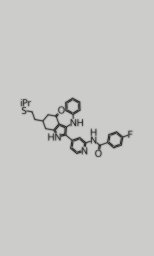 CC(C)SCCC1CC(=O)c2c([nH]c(-c3ccnc(NC(=O)c4ccc(F)cc4)c3)c2Nc2ccccc2)C1